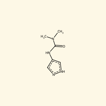 CN(C)C(=O)Nc1cn[nH]c1